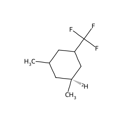 [2H][C@]1(C)CC(C)CC(C(F)(F)F)C1